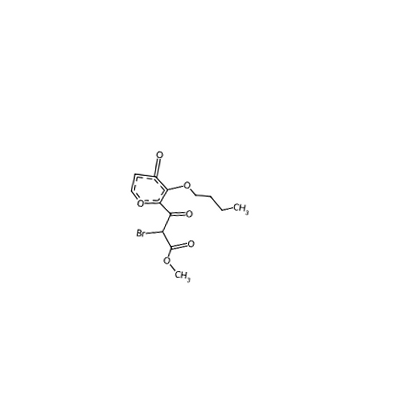 CCCCOc1c(C(=O)C(Br)C(=O)OC)occc1=O